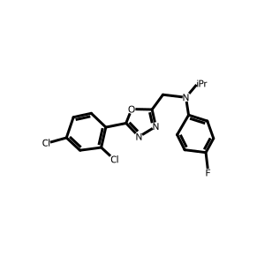 CC(C)N(Cc1nnc(-c2ccc(Cl)cc2Cl)o1)c1ccc(F)cc1